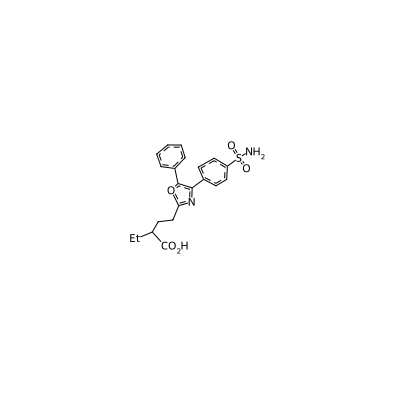 CCC(CCc1nc(-c2ccc(S(N)(=O)=O)cc2)c(-c2ccccc2)o1)C(=O)O